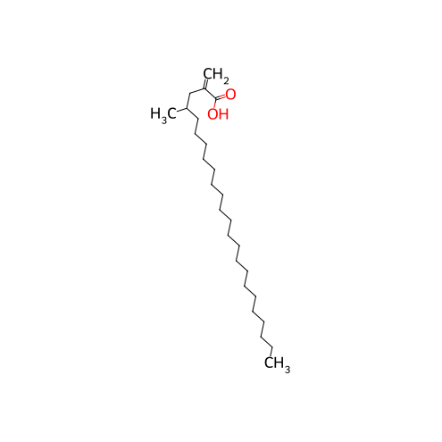 C=C(CC(C)CCCCCCCCCCCCCCCCCCCC)C(=O)O